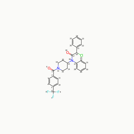 O=C(c1ccc(C(F)(F)F)cc1)N1CCC(N(C(=O)C(Cl)c2ccccc2)c2ccccc2)CC1